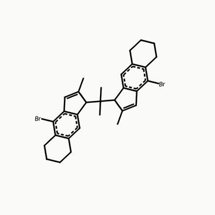 CC1=Cc2c(cc3c(c2Br)CCCC3)C1C(C)(C)C1C(C)=Cc2c1cc1c(c2Br)CCCC1